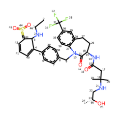 CCNC1C(c2ccc(CN3C(=O)[C@H](NC(=O)CC(C)(C)NC[C@@H](C)O)CCc4cc(C(F)(F)F)ccc43)cc2)=CC=CC1=S(=O)=O